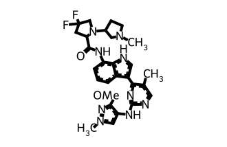 COc1nn(C)cc1Nc1ncc(C)c(-c2c[nH]c3c(NC(=O)C4CC(F)(F)CN4C4CCN(C)C4)cccc23)n1